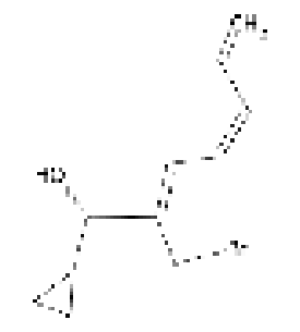 C=C/C=C\C=C(/CBr)[C@@H](O)C1CC1